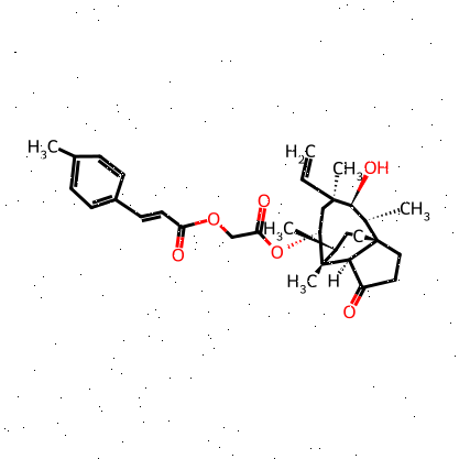 C=C[C@]1(C)C[C@@H](OC(=O)COC(=O)/C=C/c2ccc(C)cc2)[C@]2(C)[C@H](C)CC[C@]3(CCC(=O)[C@H]32)[C@@H](C)[C@@H]1O